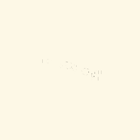 CCCCOc1ccc2cc(-c3ccc(N(C)C)cc3)sc2c1